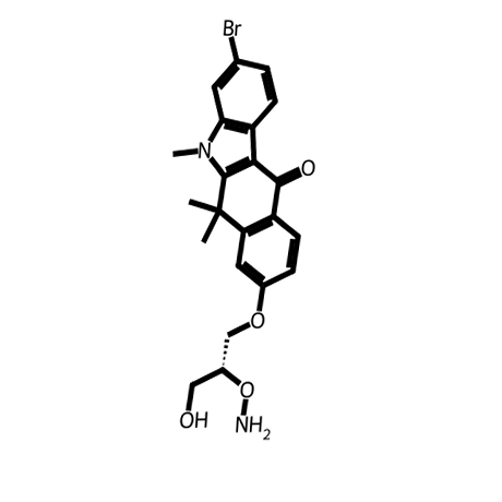 Cn1c2c(c3ccc(Br)cc31)C(=O)c1ccc(OC[C@@H](CO)ON)cc1C2(C)C